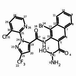 NN(O)C(=O)c1cc2ccccc2c(Br)c1NC(=O)c1cc(C(F)(F)F)nn1-c1ncccc1Cl